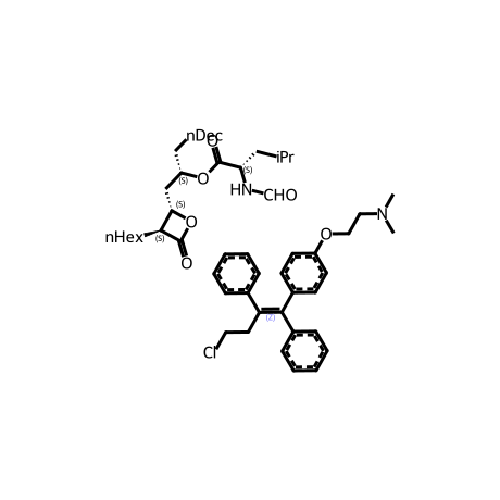 CCCCCCCCCCC[C@@H](C[C@@H]1OC(=O)[C@H]1CCCCCC)OC(=O)[C@H](CC(C)C)NC=O.CN(C)CCOc1ccc(/C(=C(/CCCl)c2ccccc2)c2ccccc2)cc1